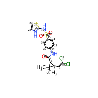 CC1(C)C(C=C(Cl)Cl)C1C(=O)Nc1ccc(S(=O)(=O)NC2NC=CS2)cc1